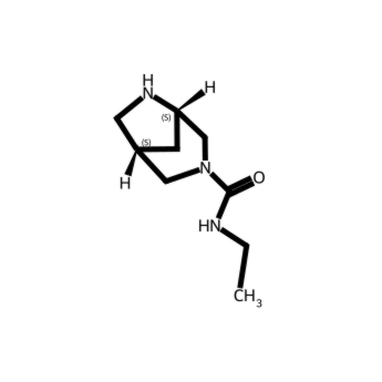 CCNC(=O)N1C[C@@H]2CN[C@@H](C2)C1